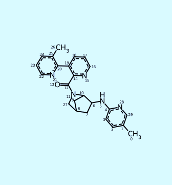 Cc1ccc(NC2CC3CC2N(C(=O)c2ncccc2-c2ncccc2C)C3)nc1